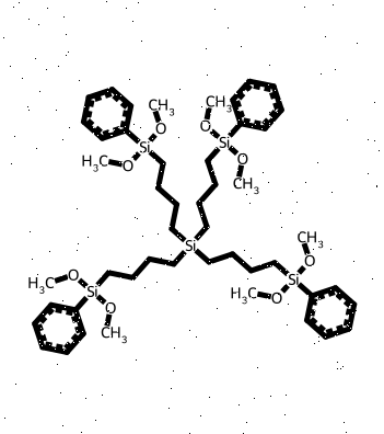 CO[Si](CCCC[Si](CCCC[Si](OC)(OC)c1ccccc1)(CCCC[Si](OC)(OC)c1ccccc1)CCCC[Si](OC)(OC)c1ccccc1)(OC)c1ccccc1